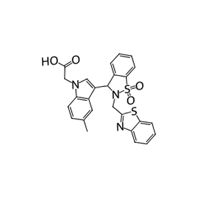 Cc1ccc2c(c1)c(C1c3ccccc3S(=O)(=O)N1Cc1nc3ccccc3s1)cn2CC(=O)O